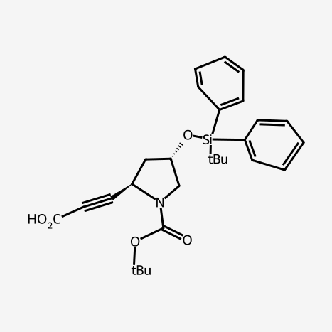 CC(C)(C)OC(=O)N1C[C@@H](O[Si](c2ccccc2)(c2ccccc2)C(C)(C)C)C[C@@H]1C#CC(=O)O